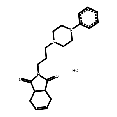 Cl.O=C1C2CC=CCC2C(=O)N1CCCN1CCN(c2ccccc2)CC1